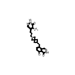 Cc1c(CCCN2CC3(CC(Cc4ccc(Cl)c5c(=O)[nH]ncc45)C3)C2)cn[nH]c1=O